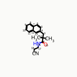 CC(C)(Cc1ccc2ccccc2c1)C(=O)NCCC#N